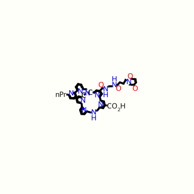 CCCc1cccc(-c2cccc(CN3Cc4cccc(n4)-c4cccc(n4)CNCc4cc(C(=O)O)cc(n4)-c4cc(C(=O)NCCNC(=O)CCCN5CC(=O)C=CC5=O)cc(n4)C3)n2)n1